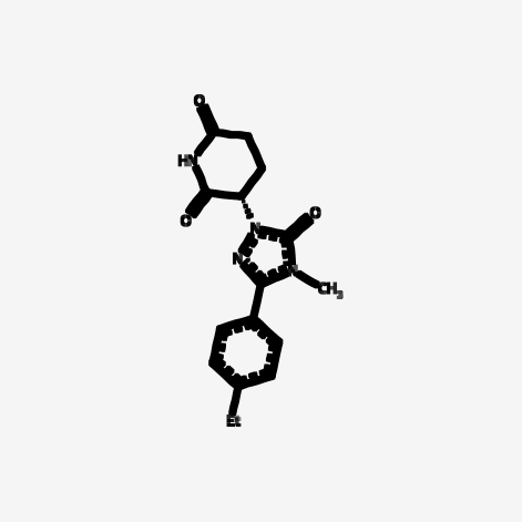 CCc1ccc(-c2nn([C@H]3CCC(=O)NC3=O)c(=O)n2C)cc1